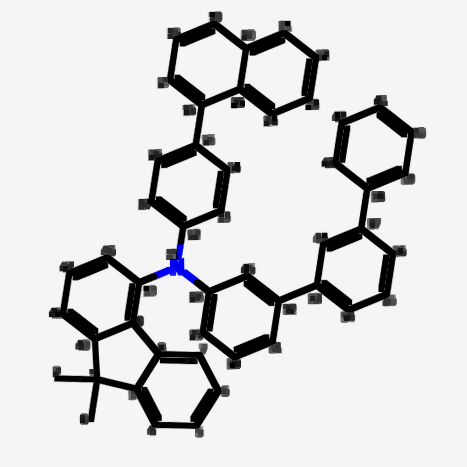 CC1(C)c2ccccc2-c2c(N(c3ccc(-c4cccc5ccccc45)cc3)c3cccc(-c4cccc(-c5ccccc5)c4)c3)cccc21